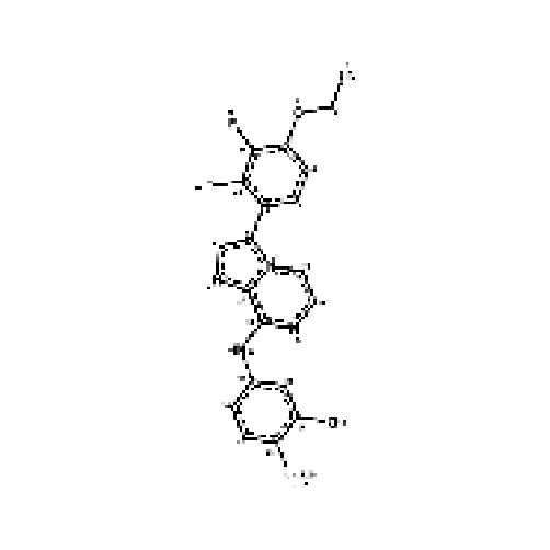 N#CCOc1ccc(-c2cnc3c(Nc4ccc(C(=O)O)c(Cl)c4)nccn23)c(F)c1F